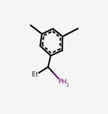 [CH2]CC(P)c1cc(C)cc(C)c1